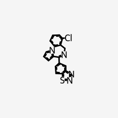 Clc1cccc2c1CN=C(c1ccc3snnc3c1)c1cccn1-2